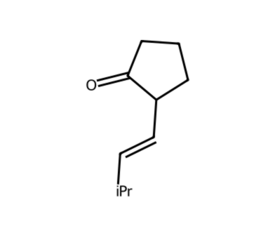 CC(C)/C=C/C1CCCC1=O